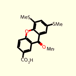 CSc1cc(SC)c2oc3ccc(C(=O)O)cc3c(=O)c2c1.[Mn]